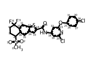 CS(=O)(=O)C1CCC(F)(F)c2cc3sc(C(=O)Nc4cc(Cl)nc(Oc5ccc(Cl)cc5)c4)cc3cc21